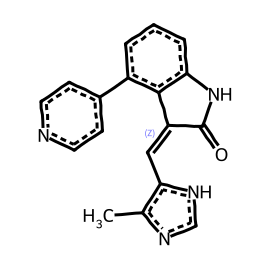 Cc1nc[nH]c1/C=C1\C(=O)Nc2cccc(-c3ccncc3)c21